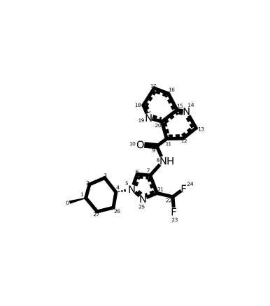 C[C@H]1CC[C@H](n2cc(NC(=O)c3ccnc4cccnc34)c(C(F)F)n2)CC1